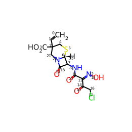 C=CC1(C(=O)O)CS[C@@H]2C(NC(=O)C(=NO)C(=O)CCl)C(=O)N2C1